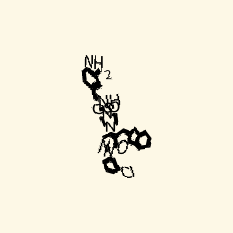 Cc1cc(CNS(=O)(=O)N2CCN(c3cnn(-c4cccc(Cl)c4)c(=O)c3CC3Cc4ccccc4C3)CC2)ccc1N